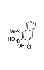 CSc1c(B(O)O)c(Cl)cc2ccccc12